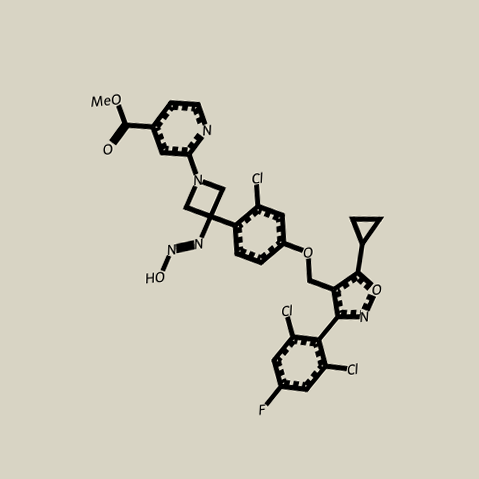 COC(=O)c1ccnc(N2CC(N=NO)(c3ccc(OCc4c(-c5c(Cl)cc(F)cc5Cl)noc4C4CC4)cc3Cl)C2)c1